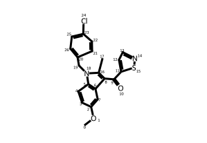 COc1ccc2c(c1)c(C(=O)c1ccns1)c(C)n2Cc1ccc(Cl)cc1